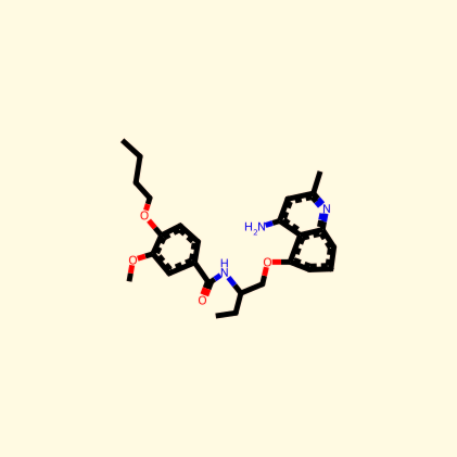 CCCCOc1ccc(C(=O)NC(CC)COc2cccc3nc(C)cc(N)c23)cc1OC